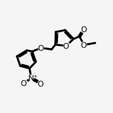 COC(=O)c1ccc(COc2cccc([N+](=O)[O-])c2)o1